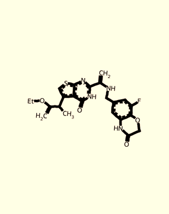 C=C(NCc1cc(F)c2c(c1)NC(=O)CO2)c1nc2scc(C(C)C(=C)OCC)c2c(=O)[nH]1